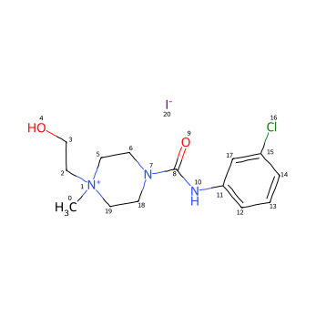 C[N+]1(CCO)CCN(C(=O)Nc2cccc(Cl)c2)CC1.[I-]